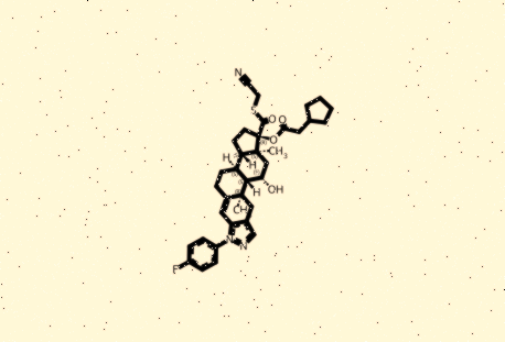 C[C@]12Cc3cnn(-c4ccc(F)cc4)c3C=C1CC[C@@H]1[C@@H]2[C@@H](O)C[C@@]2(C)[C@H]1CC[C@]2(OC(=O)CC1CCCC1)C(=O)SCC#N